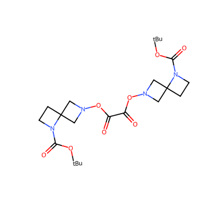 CC(C)(C)OC(=O)N1CCC12CN(OC(=O)C(=O)ON1CC3(CCN3C(=O)OC(C)(C)C)C1)C2